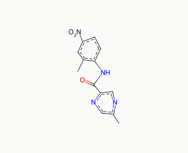 Cc1cnc(C(=O)Nc2ccc([N+](=O)[O-])cc2C)cn1